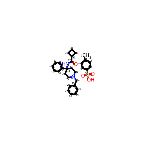 Cc1ccc(S(=O)(=O)O)cc1.O=C(NC1(c2ccccc2)CCN(Cc2ccccc2)CC1)C1CCC1